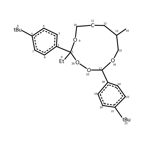 CCC1(c2ccc(C(C)(C)C)cc2)OCCCC(C)COC(c2ccc(C(C)(C)C)cc2)OO1